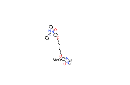 COc1cc2c(cc1OCCCCCCCCCCOc1ccc(-n3c(/C=C/c4ccccc4)nc4ccccc4c3=O)cc1)N=C[C@@H]1CCCN1C2=O